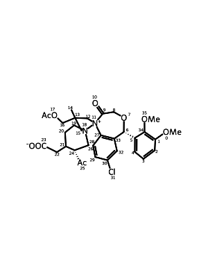 COc1cccc([C@H]2OCC(=O)[N+](CC(C)(C)COC(C)=O)(N3CCC(CC(=O)[O-])[C@@H](C(C)=O)C3)c3ccc(Cl)cc32)c1OC